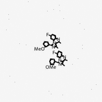 COc1cccc(-c2nc(C)c3c(C)nc4ccc(F)cc4n23)c1.COc1ccccc1-c1nc(C)c2c(C)nc3ccc(F)cc3n12